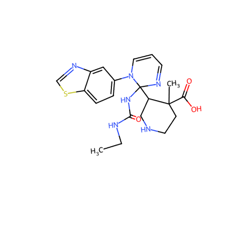 CCNC(=O)NC1(C2CNCCC2(C)C(=O)O)N=CC=CN1c1ccc2scnc2c1